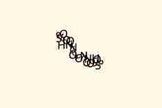 CN(CCNC(=O)COc1ccc2sc3ccccc3c(=O)c2c1)CCOC(C)(C)CCOC(C)(C)CCN(C)CCNC(=O)COc1ccc2sc3ccccc3c(=O)c2c1